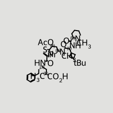 CC(=O)O[C@H](C[C@H](C(C)C)N(C)C(=O)[C@@H](NC(=O)[C@H]1CCCCN1C)C12CC(C(C)(C)C)(C1)C2)c1nc(C(=O)N[C@@H](CCc2ccccc2)C[C@H](C)C(=O)O)cs1